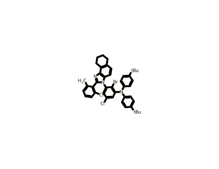 Cc1cccc(C)c1-c1nc2c3c(ccc2n1-c1cc(Cl)cc(N(c2ccc(C(C)(C)C)cc2)c2ccc(C(C)(C)C)cc2)c1Br)CCCC3